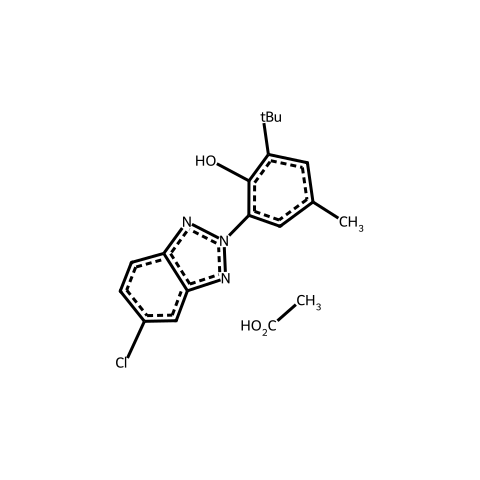 CC(=O)O.Cc1cc(-n2nc3ccc(Cl)cc3n2)c(O)c(C(C)(C)C)c1